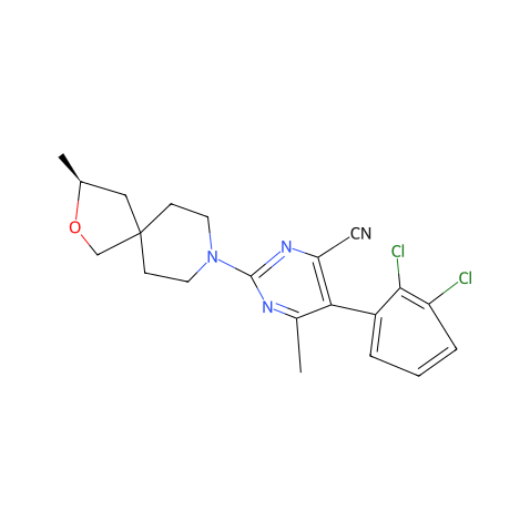 Cc1nc(N2CCC3(CC2)CO[C@@H](C)C3)nc(C#N)c1-c1cccc(Cl)c1Cl